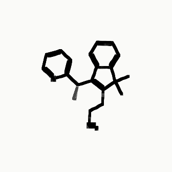 C[C@@H](C1=C(CCN)C(C)(C)c2ccccc21)c1ccccn1